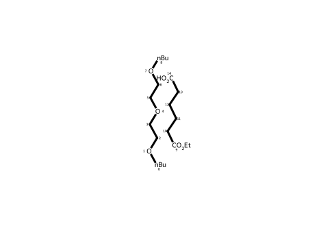 CCCCOCCOCCOCCCC.CCOC(=O)CCCCC(=O)O